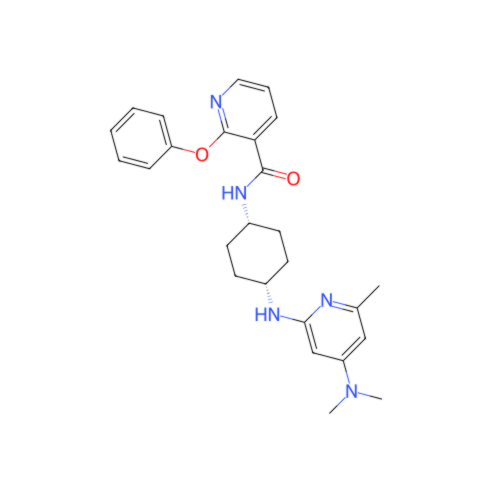 Cc1cc(N(C)C)cc(N[C@H]2CC[C@@H](NC(=O)c3cccnc3Oc3ccccc3)CC2)n1